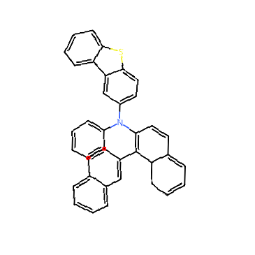 C1=CCC2C(=C1)C=CC(N(c1ccccc1)c1ccc3sc4ccccc4c3c1)=C2c1ccc2ccccc2c1